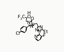 CCc1nc(Cn2nc(-c3ccc(Cl)cc3)n(CC(O)C(F)(F)F)c2=O)nn1-c1ncccc1F